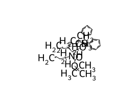 [2H]C([2H])(O[Si](c1ccccc1)(c1ccccc1)C(C)(C)C)[C@H](CC=C)N(C(=O)OC(C)(C)C)C([2H])([2H])CC=C